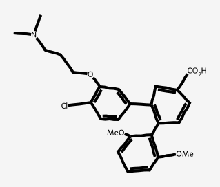 COc1cccc(OC)c1-c1ccc(C(=O)O)cc1-c1ccc(Cl)c(OCCCN(C)C)c1